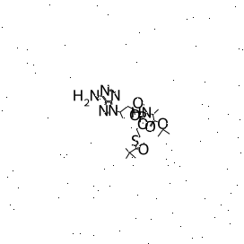 COC(CC(C)n1cnc2c(N)ncnc21)OP(NC(C)C(=O)OC(C)C)OCCSC(=O)C(C)(C)C